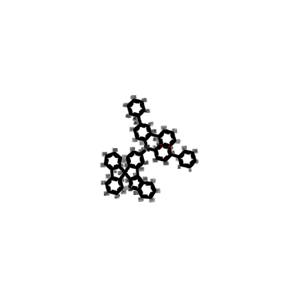 c1ccc(-c2ccc(N(c3ccc4c(c3)-c3c(sc5ccccc35)C43c4ccccc4-c4ccccc43)c3ccc(-c4ccccc4)cc3-c3ccccc3)cc2)cc1